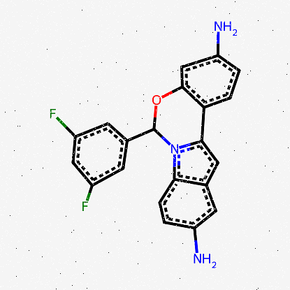 Nc1ccc2c(c1)OC(c1cc(F)cc(F)c1)n1c-2cc2cc(N)ccc21